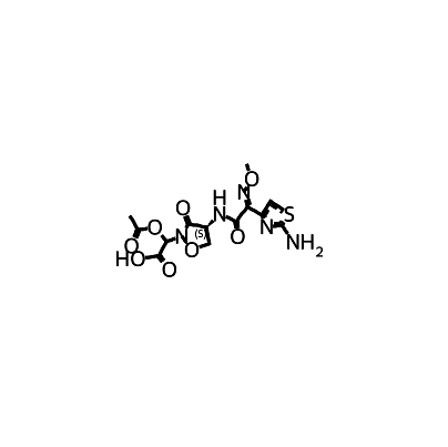 CON=C(C(=O)N[C@H]1CON(C(OC(C)=O)C(=O)O)C1=O)c1csc(N)n1